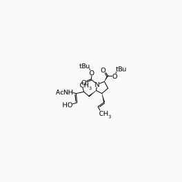 CC=C[C@@H]1C[C@H](C(=O)OC(C)(C)C)N(C(=O)OC(C)(C)C)[C@@H]1CC(C)C(=CO)NC(C)=O